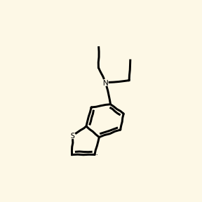 CCN(CC)c1ccc2[c]csc2c1